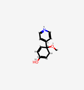 COC1(c2ccncc2)C=CC(O)=CC1